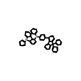 c1ccc(N(c2ccc(-c3cccc4c3-c3ccccc3C4(c3ccccc3)c3ccccc3)cc2)c2cccc3c2c2ccccc2n3-c2ccccc2)cc1